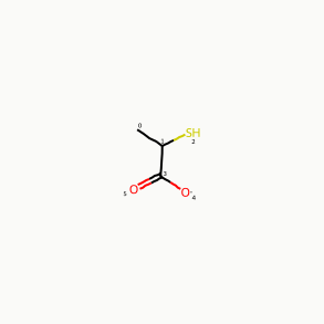 CC(S)C([O])=O